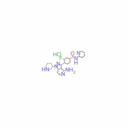 Cl.Nc1nccc2c1c(-c1ccc(C(=O)Nc3ccccn3)cc1F)nn2[C@@H]1CCCNC1